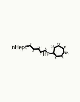 CCCCCCCCCCCCPC1CCCCCC1